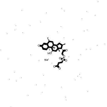 C[C@@H]1CC2C3C[C@H](F)C4=CC(=O)C=C[C@]4(C)[C@@]3(F)[C@@H](O)C[C@@]2(C)[C@H]1C(=O)COS(=O)(=O)CCC(=O)[O-].[Na+]